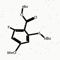 CCCCSc1cc(OC)cc(F)c1C(=O)OC(C)(C)C